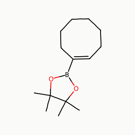 CC1(C)OB(/C2=C/CCCCCC2)OC1(C)C